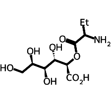 CCC(N)C(=O)O[C@@H](C(=O)O)[C@@H](O)[C@@H](O)[C@H](O)CO